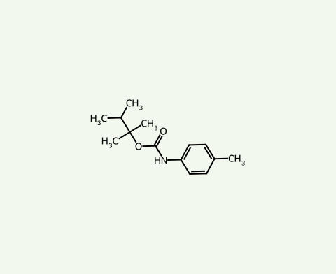 Cc1ccc(NC(=O)OC(C)(C)C(C)C)cc1